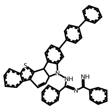 N=C(/N=C(\NN1c2cc(-c3ccc(-c4ccccc4)cc3)ccc2C2c3sc4ccccc4c3C=CC21)c1ccccc1)c1ccccc1